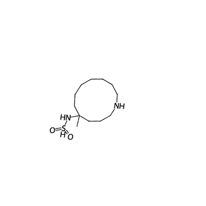 CC1(N[SH](=O)=O)CCCCCCCNCCC1